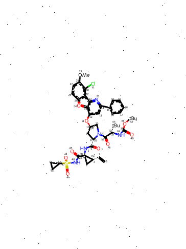 C=C[C@@H]1C[C@]1(NC(=O)[C@@H]1C[C@@H](Oc2cc(-c3ccccc3)nc3c2oc2ccc(OC)c(Cl)c23)CN1C(=O)[C@@H](NC(=O)OC(C)(C)C)C(C)(C)C)C(=O)NS(=O)(=O)C1CC1